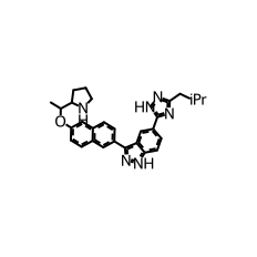 CC(C)Cc1n[nH]c(-c2ccc3[nH]nc(-c4ccc5cc(OC(C)C6CCCN6)ccc5c4)c3c2)n1